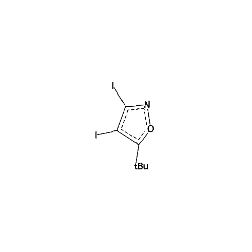 CC(C)(C)c1onc(I)c1I